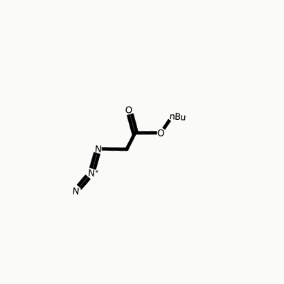 CCCCOC(=O)CN=[N+]=[N-]